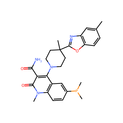 Cc1ccc2oc(C3(C)CCN(c4c(C(N)=O)c(=O)n(C)c5ccc(P(C)C)cc45)CC3)nc2c1